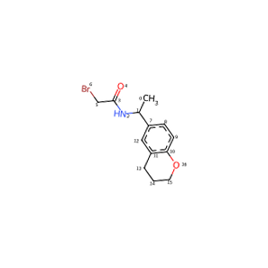 CC(NC(=O)CBr)c1ccc2c(c1)CCCO2